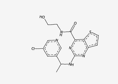 CC(Nc1nc(C(=O)NCCO)c2sccc2n1)c1cncc(Cl)c1